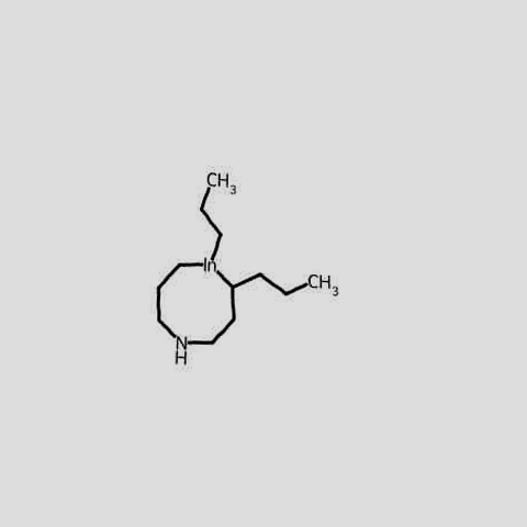 CCC[CH]1CCNCC[CH2][In]1[CH2]CC